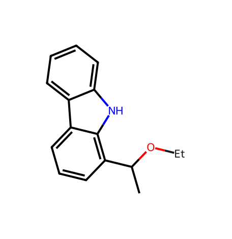 CCOC(C)c1cccc2c1[nH]c1ccccc12